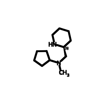 CN(C[C@@H]1CCCCN1)C1CCCC1